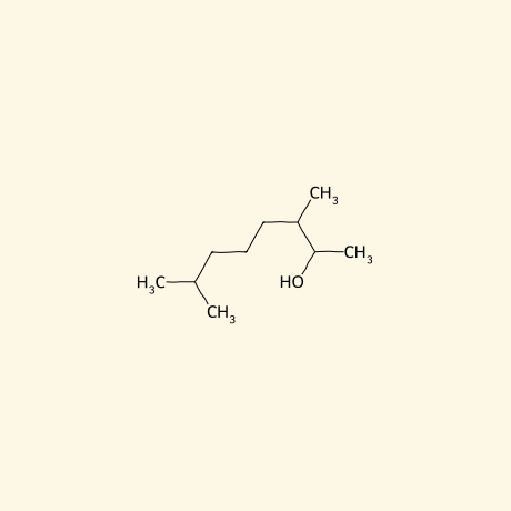 CC(C)CCCC(C)C(C)O